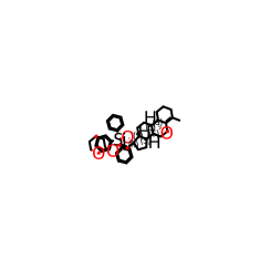 CC1=C2CC[C@@H]3[C@H](CC[C@@]4(C)[C@H]3CC[C@]4(C=COC3CCCCO3)O[Si](c3ccccc3)(c3ccccc3)c3ccccc3)[C@@]2(C=O)CCC1